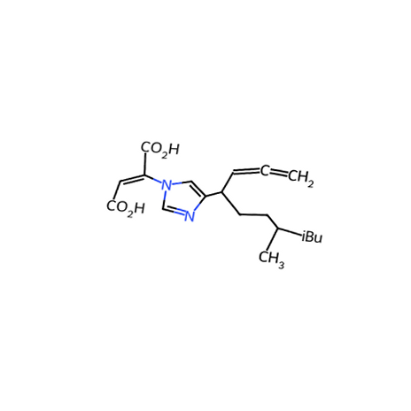 C=C=CC(CCC(C)C(C)CC)c1cn(/C(=C\C(=O)O)C(=O)O)cn1